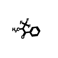 CC(C(=O)c1ccccc1)C(F)(F)F